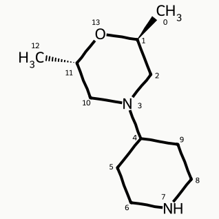 C[C@H]1CN(C2CCNCC2)C[C@H](C)O1